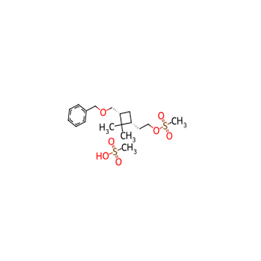 CC1(C)[C@H](COCc2ccccc2)C[C@@H]1CCOS(C)(=O)=O.CS(=O)(=O)O